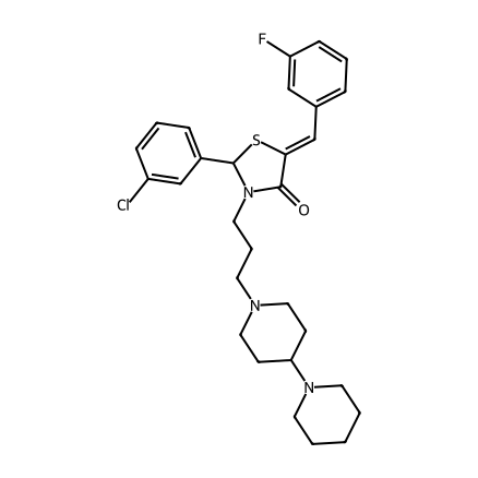 O=C1C(=Cc2cccc(F)c2)SC(c2cccc(Cl)c2)N1CCCN1CCC(N2CCCCC2)CC1